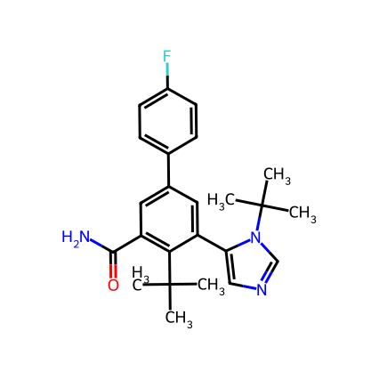 CC(C)(C)c1c(C(N)=O)cc(-c2ccc(F)cc2)cc1-c1cncn1C(C)(C)C